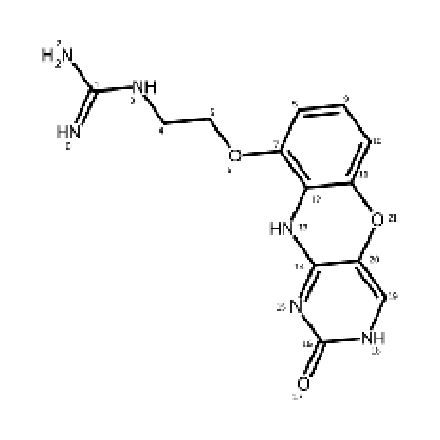 N=C(N)NCCOc1cccc2c1Nc1nc(=O)[nH]cc1O2